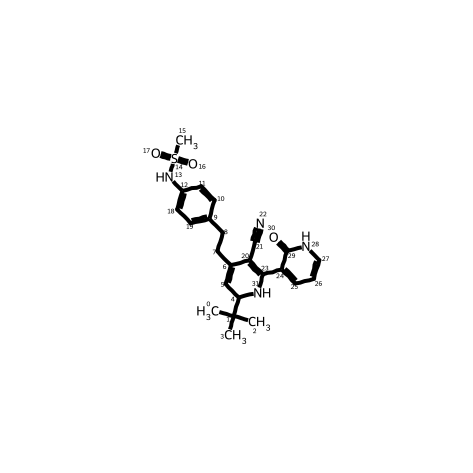 CC(C)(C)C1C=C(CCc2ccc(NS(C)(=O)=O)cc2)C(C#N)=C(c2ccc[nH]c2=O)N1